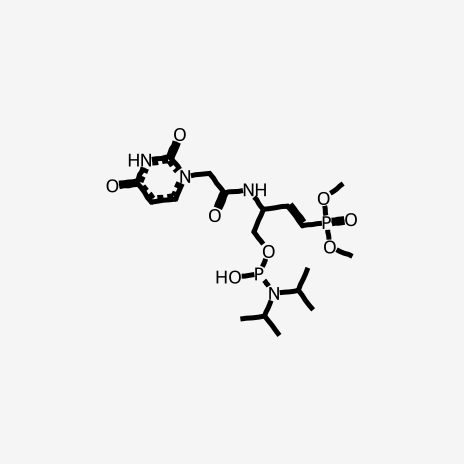 COP(=O)(C=CC(COP(O)N(C(C)C)C(C)C)NC(=O)Cn1ccc(=O)[nH]c1=O)OC